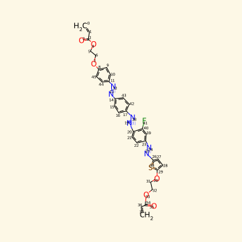 C=CC(=O)OCCOc1ccc(/N=N/c2ccc(/N=N/c3ccc(/N=N/c4ccc(OCCOC(=O)C=C)s4)cc3F)cc2)cc1